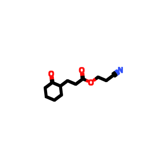 N#CCCOC(=O)CCC1CCCCC1=O